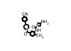 Cc1ccc(C(=O)N2CCC(c3ccc(C#N)cc3)CC2)cc1NC(=O)N1CC(N)C1